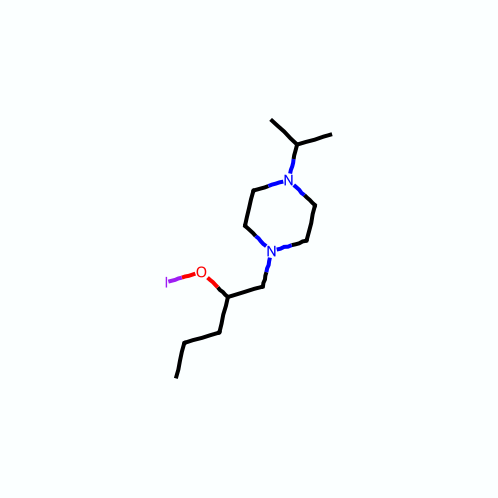 CCCC(CN1CCN(C(C)C)CC1)OI